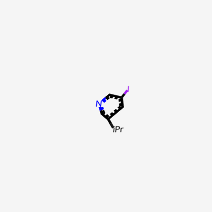 CC(C)c1cncc(I)c1